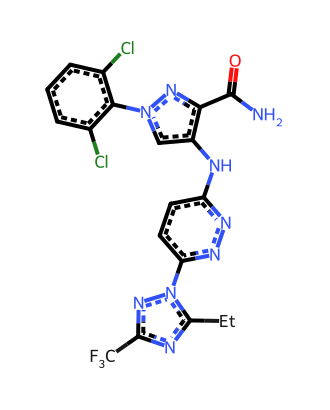 CCc1nc(C(F)(F)F)nn1-c1ccc(Nc2cn(-c3c(Cl)cccc3Cl)nc2C(N)=O)nn1